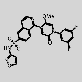 COc1cn(-c2cc(F)cc(F)c2)c(=O)cc1-c1nccc2cc(S(=O)(=O)Nc3ccon3)ccc12